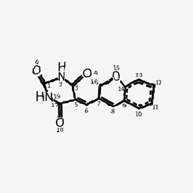 O=C1NC(=O)C(=CC2=Cc3ccccc3OC2)C(=O)N1